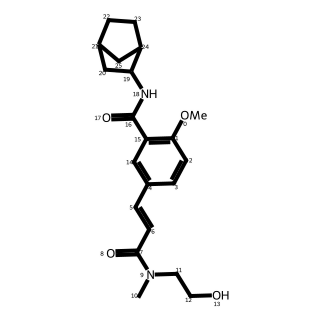 COc1ccc(/C=C/C(=O)N(C)CCO)cc1C(=O)NC1CC2CCC1C2